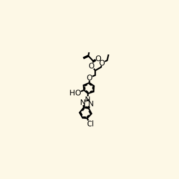 C=C(C)C(=O)OC(COCC)COc1ccc(-n2nc3ccc(Cl)cc3n2)c(O)c1